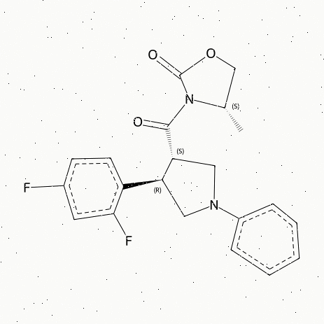 C[C@H]1COC(=O)N1C(=O)[C@@H]1CN(c2ccccc2)C[C@H]1c1ccc(F)cc1F